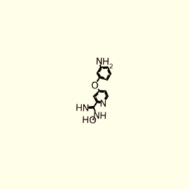 N=C(NO)c1cc(Oc2cccc(N)c2)ccn1